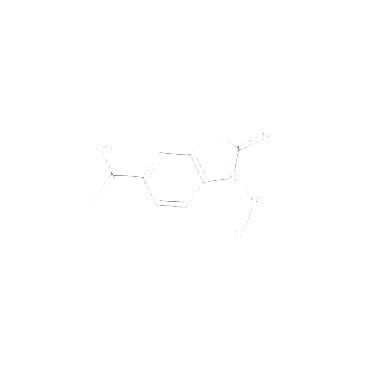 CNn1c(=N)sc2cc(C(=O)O)ccc21